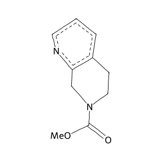 COC(=O)N1CCc2cccnc2C1